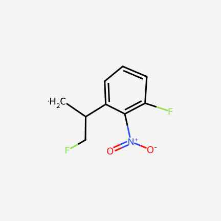 [CH2]C(CF)c1cccc(F)c1[N+](=O)[O-]